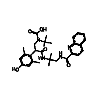 Cc1cc(O)cc(C)c1C(CN(C(=O)O)C(C)(C)C)C(=O)NC(C)(C)CNC(=O)c1ccc2ccccc2n1